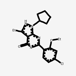 CCOc1cc(Cl)ccc1-c1nc2n(C3CCCC3)[nH]c(CC)c-2c(=O)n1